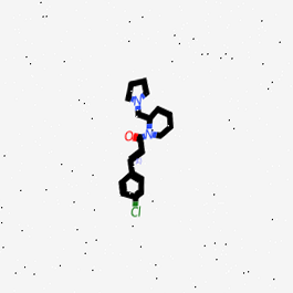 O=C(/C=C/c1ccc(Cl)cc1)N1CCCCC1CN1CCCC1